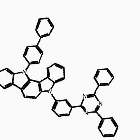 c1ccc(-c2ccc(-n3c4ccccc4c4ccc5c(c6ccccc6n5-c5cccc(-c6nc(-c7ccccc7)nc(-c7ccccc7)n6)c5)c43)cc2)cc1